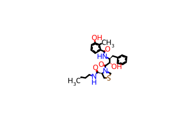 CCCCNC(=O)[C@@H]1CSCN1C(=O)[C@@H](O)[C@H](Cc1ccccc1)NC(=O)c1cccc(O)c1C